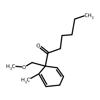 CCCCCC(=O)C1(COC)C=CCC=C1C